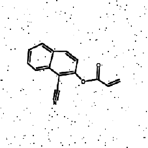 C=CC(=O)Oc1ccc2ccccc2c1C#N